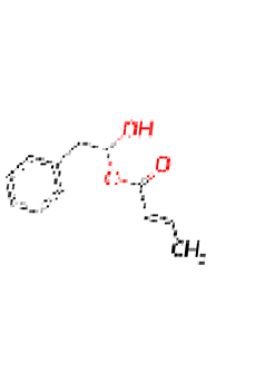 CC=CC(=O)OC(O)Cc1ccccc1